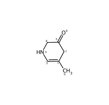 CC1=[C]NCC(=O)C1